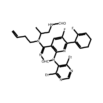 C=CCCN(/C(=N/C)c1cc(F)c(C2=CCCC=C2F)nc1N(C=O)c1c(CC)ncnc1CC)C(C)CNC=O